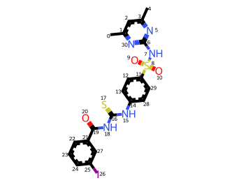 Cc1cc(C)nc(NS(=O)(=O)c2ccc(NC(=S)NC(=O)c3cccc(I)c3)cc2)n1